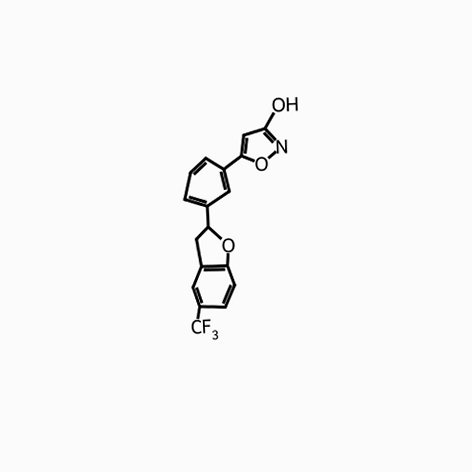 Oc1cc(-c2cccc(C3Cc4cc(C(F)(F)F)ccc4O3)c2)on1